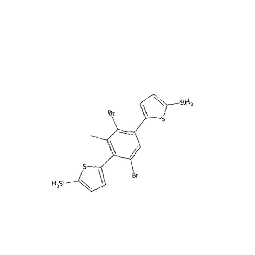 Cc1c(Br)c(-c2ccc([SiH3])s2)cc(Br)c1-c1ccc([SiH3])s1